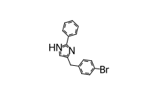 Brc1ccc(Cc2c[nH]c(-c3ccccc3)n2)cc1